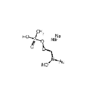 CC(=O)N(O)COOP(C)(=O)O.[Na].[Na]